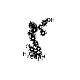 Cc1c(C(=O)O)c(-c2cccc(N3CCN(c4ccc(N5C=CO[P@]5(=O)c5ccc(NC(CCN6CCC(CO)CC6)CSc6ccccc6)c(S(=O)(=O)C(F)(F)F)c5)cc4)CC3)c2)c(-c2ccc(Cl)cc2)n1C(C)C